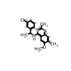 COc1cc2c(NC(C)c3cccc(Cl)c3)nc(C)nc2cc1C